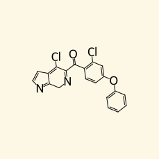 O=C(C1=NCC2=NC=CC2=C1Cl)c1ccc(Oc2ccccc2)cc1Cl